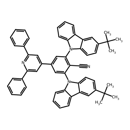 CC(C)(C)c1ccc2c(c1)c1ccccc1n2-c1cc(-c2cc(-c3ccccc3)nc(-c3ccccc3)c2)cc(-n2c3ccccc3c3cc(C(C)(C)C)ccc32)c1C#N